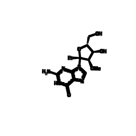 CC[C@@]1(n2cnc3c(=O)[nH]c(N)nc32)O[C@H](CO)[C@@H](O)[C@H]1OC